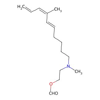 C=C/C=C(/C)C=CCCCCN(C)CCOC=O